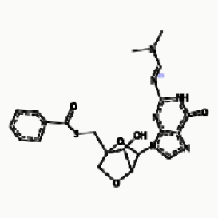 CN(C)/C=N/c1nc2c(ncn2C2OC3(CSC(=O)c4ccccc4)COC2C3O)c(=O)[nH]1